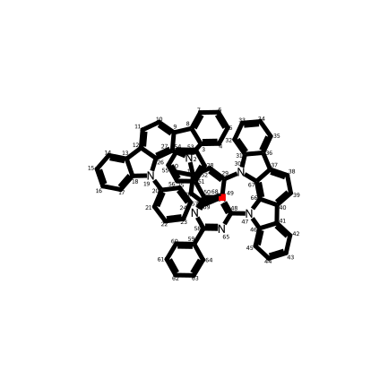 CC1(n2c3ccccc3c3ccc4c5ccccc5n(-c5ccccc5)c4c32)C=C(n2c3ccccc3c3ccc4c5ccccc5n(-c5nc(-c6ccccc6)nc(-c6ccccc6)n5)c4c32)C=CC1